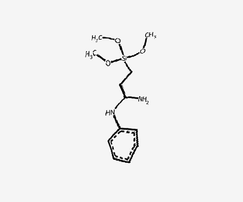 CO[Si](CCC(N)Nc1ccccc1)(OC)OC